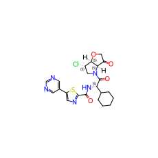 O=C(N[C@H](C(=O)N1C[C@H](Cl)[C@H]2OCC(=O)[C@H]21)C1CCCCC1)c1ncc(-c2cncnc2)s1